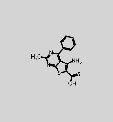 Cc1nc(-c2ccccc2)c2c(N)c(C(O)=S)sc2n1